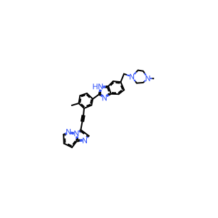 Cc1ccc(-c2nc3ccc(CN4CCN(C)CC4)cc3[nH]2)cc1C#Cc1cnc2cccnn12